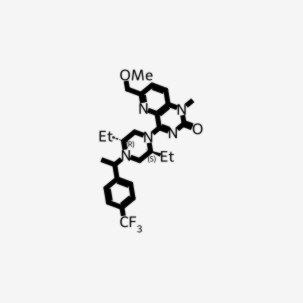 CC[C@H]1CN(C(C)c2ccc(C(F)(F)F)cc2)[C@H](CC)CN1c1nc(=O)n(C)c2ccc(COC)nc12